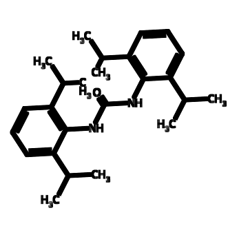 CC(C)c1cccc(C(C)C)c1NC(=O)Nc1c(C(C)C)cccc1C(C)C